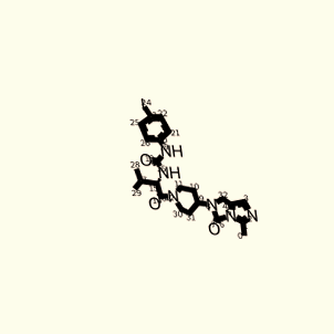 Cc1ncc2n1C(=O)N(C1CCN(C(=O)[C@H](NC(=O)Nc3ccc(I)cc3)C(C)C)CC1)C2